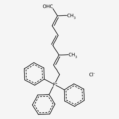 C\C(C=O)=C/C=C/C(C)=C/C[P+](c1ccccc1)(c1ccccc1)c1ccccc1.[Cl-]